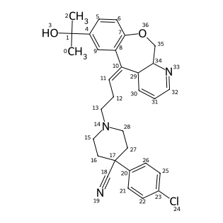 CC(C)(O)c1ccc2c(c1)/C(=C/CCN1CCC(C#N)(c3ccc(Cl)cc3)CC1)C1C=CC=NC1CO2